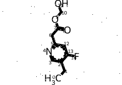 CCc1cnc(CC(=O)OCO)cc1F